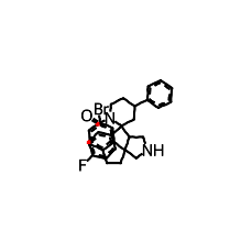 O=CN1CCC(c2ccccc2)CC1(c1ccc(F)cc1)C1CNCC12CCc1ccc(Br)cc12